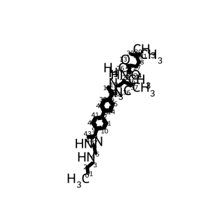 CCCCNCc1nc(-c2ccc(-c3ccc(-c4c[nH]c(C(NC(=O)C5(C)CCC(C)(C)CO5)C(C)(C)C)n4)cc3)cc2)c[nH]1